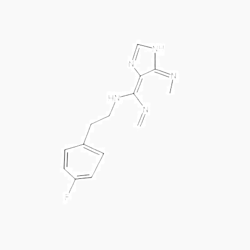 C=N/C(NCCc1ccc(F)cc1)=C1/N=CN/C1=N/C